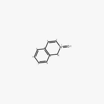 O=[N+]1C=Cc2[c]cccc2C1